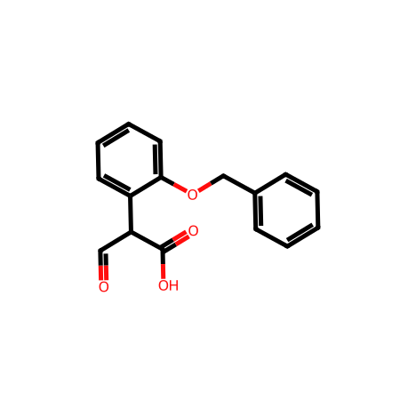 O=CC(C(=O)O)c1ccccc1OCc1ccccc1